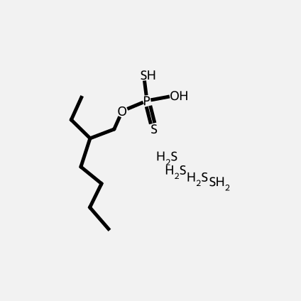 CCCCC(CC)COP(O)(=S)S.S.S.S.S